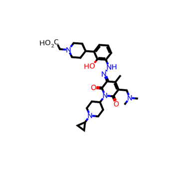 CC1=C(CN(C)C)C(=O)N(C2CCN(C3CC3)CC2)C(=O)C1=NNc1cccc(C2CCN(CC(=O)O)CC2)c1O